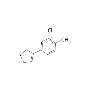 Cc1ccc(C2=CCCC2)cc1Cl